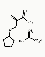 C=C(C)C(=O)O.C=C(C)C(=O)OOC1CCCC1